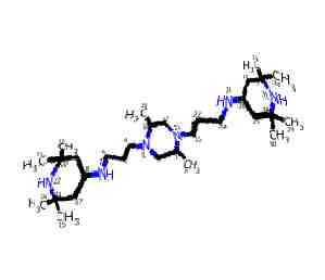 CC1CN(CCCNC2CC(C)(C)NC(C)(C)C2)C(C)CN1CCCNC1CC(C)(C)NC(C)(C)C1